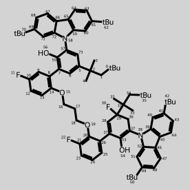 CC(C)(C)CC(C)(C)c1cc(-c2cc(F)ccc2OCCCOc2c(F)cccc2C2=CC(F)(C(C)(C)CC(C)(C)C)CC(n3c4cc(C(C)(C)C)ccc4c4ccc(C(C)(C)C)cc43)=C2O)c(O)c(-n2c3cc(C(C)(C)C)ccc3c3ccc(C(C)(C)C)cc32)c1